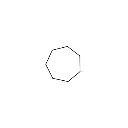 [C]1C[CH]CCCC1